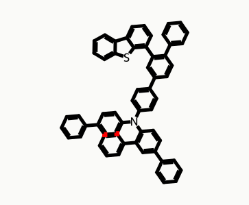 c1ccc(-c2ccc(N(c3ccc(-c4ccc(-c5ccccc5)c(-c5cccc6c5sc5ccccc56)c4)cc3)c3ccc(-c4ccccc4)cc3-c3ccccc3)cc2)cc1